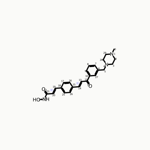 CN1CCN(Cc2cccc(C(=O)/C=C/c3ccc(/C=C/C(=O)NO)cc3)c2)CC1